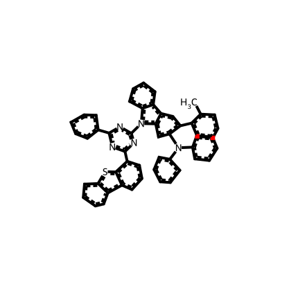 Cc1ccccc1-c1cc2c3ccccc3n(-c3nc(-c4ccccc4)nc(-c4cccc5c4sc4ccccc45)n3)c2cc1N(c1ccccc1)c1ccccc1